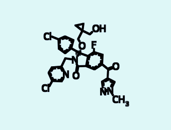 Cn1cc(C(=O)c2cc(F)c3c(c2)C(=O)N(Cc2ccc(Cl)cn2)[C@@]3(OCC2(CO)CC2)c2ccc(Cl)cc2)cn1